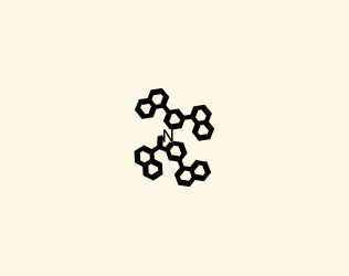 c1ccc2c(-c3cc(-c4cccc5ccccc45)cc(-n4cc(-c5cccc6ccccc56)c5cc(-c6cccc7ccccc67)ccc54)c3)cccc2c1